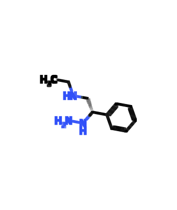 CCNC[C@@H](NN)c1ccccc1